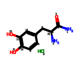 Cl.NC(=O)[C@@H](N)Cc1ccc(O)c(O)c1